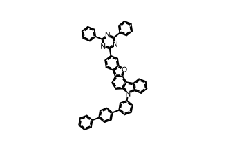 c1ccc(-c2ccc(-c3cccc(-n4c5ccccc5c5c6oc7cc(-c8nc(-c9ccccc9)nc(-c9ccccc9)n8)ccc7c6ccc54)c3)cc2)cc1